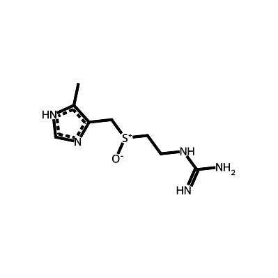 Cc1[nH]cnc1C[S+]([O-])CCNC(=N)N